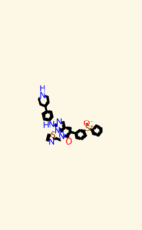 O=c1c(-c2cccc([S+]([O-])c3ccccc3)c2)cc2cnc(Nc3ccc(C4=CCNCC4)cc3)nc2n1Cc1nccs1